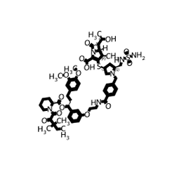 CCC(C)(C)C(=O)C(=O)N1CCCC[C@H]1C(=O)O[C@H](CCc1ccc(OC)c(OC)c1)c1cccc(OCCNC(=O)c2ccc(CN3C[C@@H](SC4=C(C(=O)O)N5C(=O)[C@H]([C@@H](C)O)[C@H]5[C@H]4C)C[C@H]3CNS(N)(=O)=O)cc2)c1